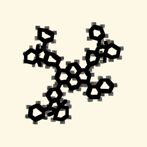 CC12CCCCC1(C)N(c1ccccc1)c1ccc(-c3cc(-c4ccc5c(c4)C4(C)CCCCC4(C)N5c4ccccc4)c4ccc5c(-c6cccc7ccccc67)cc(-c6ccc7c(c6)C6(C)CCCCC6(C)N7c6ccccc6)c6ccc3c4c65)cc12